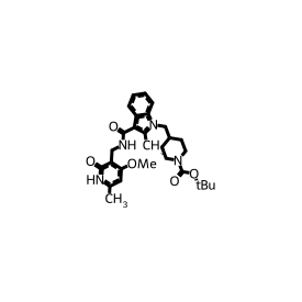 COc1cc(C)[nH]c(=O)c1CNC(=O)c1c(C)n(CC2CCN(C(=O)OC(C)(C)C)CC2)c2ccccc12